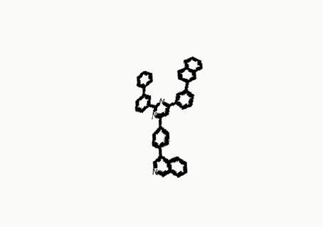 c1ccc(-c2cccc(-c3nc(-c4ccc(-c5cncc6ccccc56)cc4)cc(-c4cccc(-c5ccc6ccccc6c5)c4)n3)c2)cc1